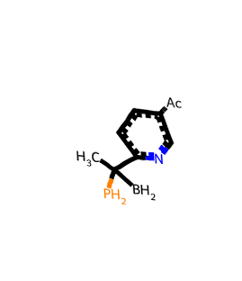 BC(C)(P)c1ccc(C(C)=O)cn1